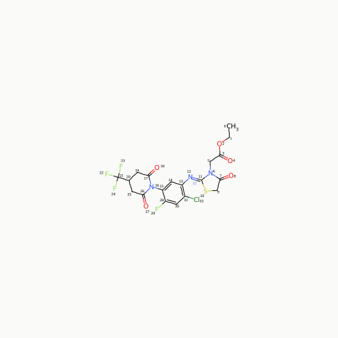 CCOC(=O)CN1C(=O)CS/C1=N\c1cc(N2C(=O)CC(C(F)(F)F)CC2=O)c(F)cc1Cl